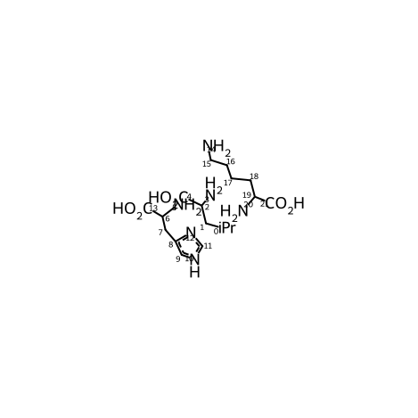 CC(C)CC(N)C(=O)O.NC(Cc1c[nH]cn1)C(=O)O.NCCCCC(N)C(=O)O